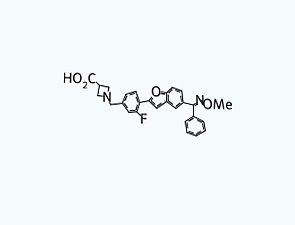 CON=C(c1ccccc1)c1ccc2oc(-c3ccc(CN4CC(C(=O)O)C4)cc3F)cc2c1